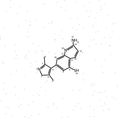 CC1=NCC(C)=C1c1cc(S)c2ccc(N)nc2c1